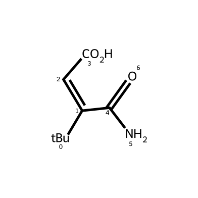 CC(C)(C)/C(=C/C(=O)O)C(N)=O